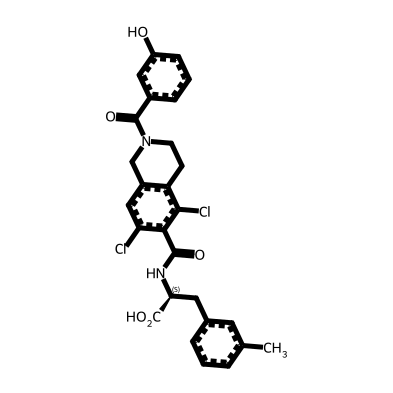 Cc1cccc(C[C@H](NC(=O)c2c(Cl)cc3c(c2Cl)CCN(C(=O)c2cccc(O)c2)C3)C(=O)O)c1